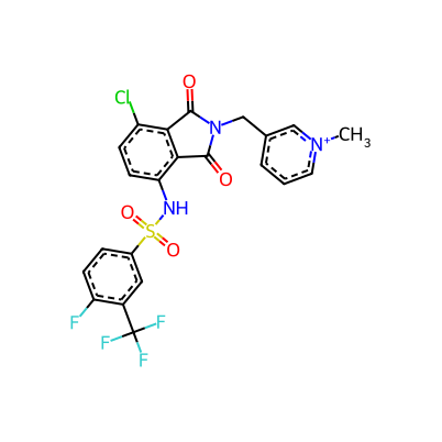 C[n+]1cccc(CN2C(=O)c3c(Cl)ccc(NS(=O)(=O)c4ccc(F)c(C(F)(F)F)c4)c3C2=O)c1